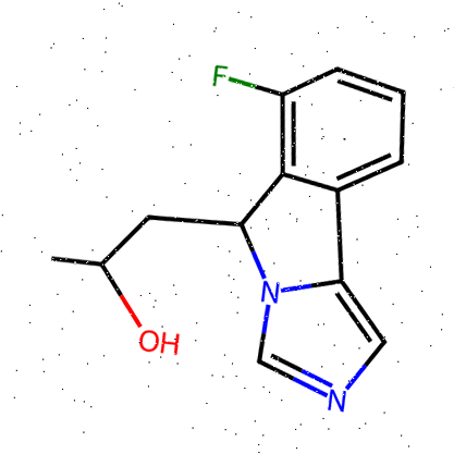 CC(O)CC1c2c(F)cccc2-c2cncn21